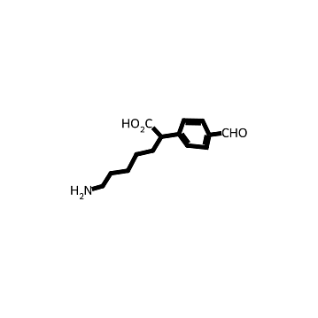 NCCCCCC(C(=O)O)c1ccc(C=O)cc1